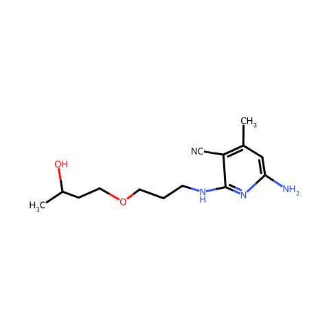 Cc1cc(N)nc(NCCCOCCC(C)O)c1C#N